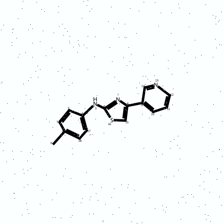 Cc1ccc(Nc2nc(-c3cccnc3)cs2)cc1